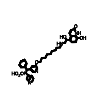 O=C(O)N(C(c1ccccc1)c1cncc(OCCCCCCCCCNCC(O)c2ccc(O)c3[nH]c(=O)ccc23)c1)C1CN2CCC1CC2